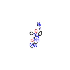 Cc1nn2cccnc2c1C(=O)N[C@H](C)c1nc2cccc(/C=C/c3ccn(C)n3)c2c(=O)n1-c1ccccc1